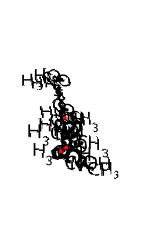 CC[C@]1(O)C[C@H]2CN(CCc3c([nH]c4ccccc34)[C@@](C(=O)OC)(c3cc4c(cc3OC)N(C)[C@H]3[C@@](O)(C(=O)NNC(=O)OCCSSC[C@H](NC)C(=O)O)[C@H](O)[C@]5(CC)C=CCN6CC[C@]43[C@@H]65)C2)C1